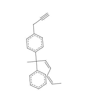 C#CCc1ccc(C(C)(/C=C\C=C/C)c2ccccc2)cc1